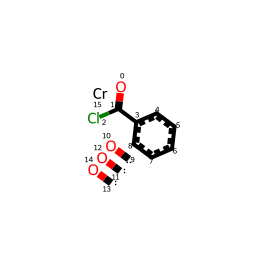 O=C(Cl)c1ccccc1.[C]=O.[C]=O.[C]=O.[Cr]